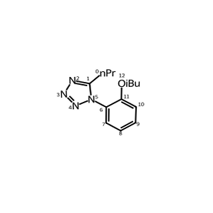 CCCc1nnnn1-c1ccccc1OCC(C)C